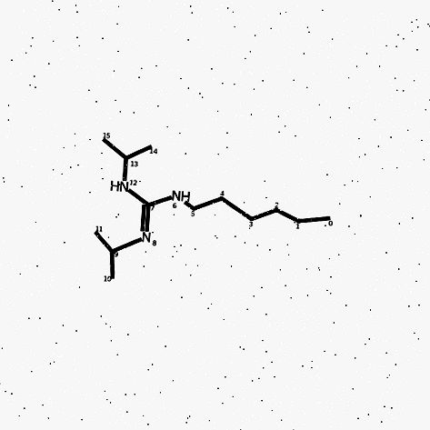 CCCCCCNC(=NC(C)C)NC(C)C